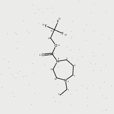 CCN1CCCN(C(=O)OCC(F)(F)F)CC1